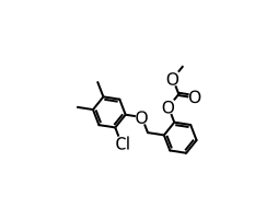 COC(=O)Oc1ccccc1COc1cc(C)c(C)cc1Cl